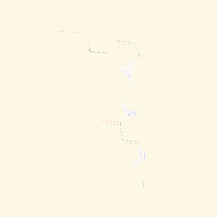 COC(=O)c1ccc(=O)n(CCNC(=O)c2ccc(Cl)nc2)c1